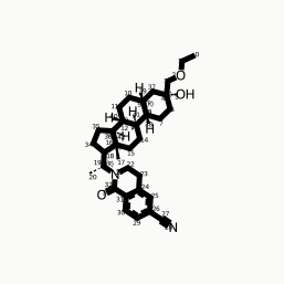 CCOC[C@@]1(O)CC[C@H]2[C@H](CC[C@@H]3[C@@H]2CC[C@]2(C)C([C@@H](C)N4CCc5cc(C#N)ccc5C4=O)CC[C@@H]32)C1